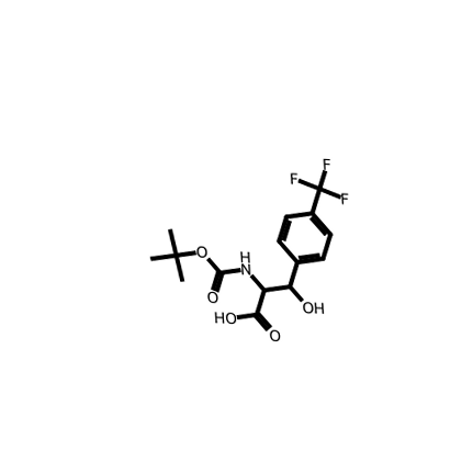 CC(C)(C)OC(=O)NC(C(=O)O)C(O)c1ccc(C(F)(F)F)cc1